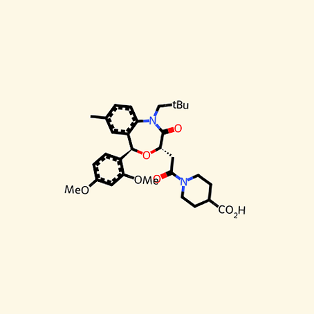 COc1ccc([C@@H]2O[C@@H](CC(=O)N3CCC(C(=O)O)CC3)C(=O)N(CC(C)(C)C)c3ccc(C)cc32)c(OC)c1